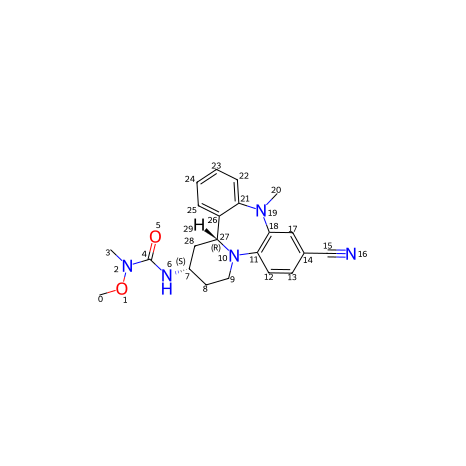 CON(C)C(=O)N[C@H]1CCN2c3ccc(C#N)cc3N(C)c3ccccc3[C@H]2C1